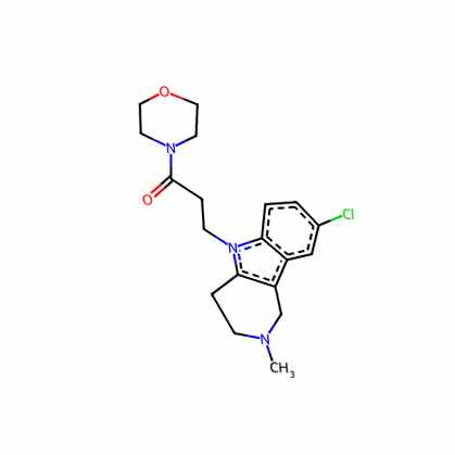 CN1CCc2c(c3cc(Cl)ccc3n2CCC(=O)N2CCOCC2)C1